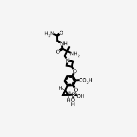 CC(N)(CN1CC(Oc2ccc3c(c2C(=O)O)O[B-](O)(O)[C@H]2C[C@@H]32)C1)C(=O)NCC(N)=O